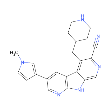 Cn1ccc(-c2cnc3[nH]c4cnc(C#N)c(CC5CCNCC5)c4c3c2)c1